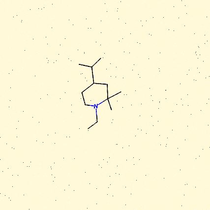 CCN1CCC(C(C)C)CC1(C)C